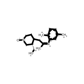 C/C(CC1CCN(Cl)C[C@H]1CO)=N/c1cc(C)ccc1C